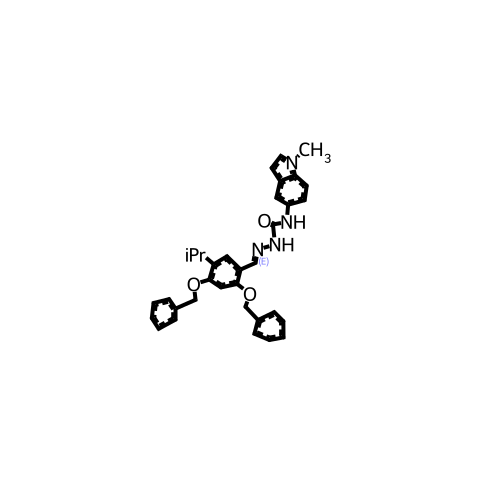 CC(C)c1cc(/C=N/NC(=O)Nc2ccc3c(ccn3C)c2)c(OCc2ccccc2)cc1OCc1ccccc1